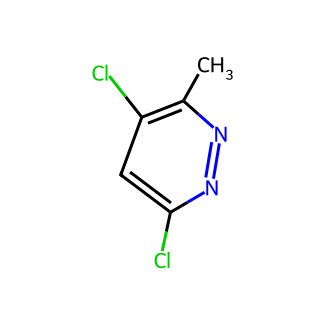 Cc1nnc(Cl)cc1Cl